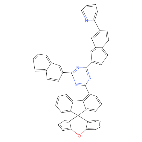 c1ccc(-c2ccc3ccc(-c4nc(-c5ccc6ccccc6c5)nc(-c5cccc6c5-c5ccccc5C65c6ccccc6Oc6ccccc65)n4)cc3c2)nc1